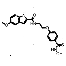 COc1ccc2[nH]c(C(=O)NCCOc3ccc(C(=S)NO)cc3)cc2c1